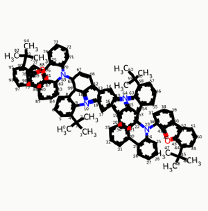 CC(C)(C)c1cccc2c1-n1c3c(c4cc5c(cc41)c1ccc(N(c4ccccc4-c4ccccc4)c4cccc6c4oc4c(C(C)(C)C)cccc46)c4c6cccc(C(C)(C)C)c6n5c14)C=CC(N(c1ccccc1-c1ccccc1)c1cccc4c1oc1c(C(C)(C)C)cccc14)C23